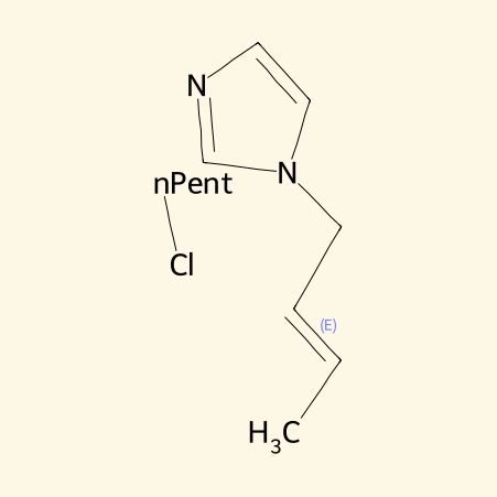 C/C=C/Cn1ccnc1.CCCCCCl